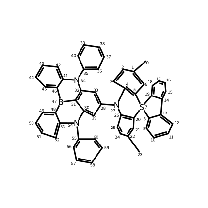 Cc1ccc2c(c1)S1(c3ccccc3-c3ccccc31)c1cc(C)ccc1N2c1cc2c3c(c1)N(c1ccccc1)c1ccccc1B3c1ccccc1N2c1ccccc1